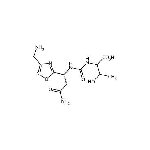 CC(O)C(NC(=O)N[C@H](CC(N)=O)c1nc(CN)no1)C(=O)O